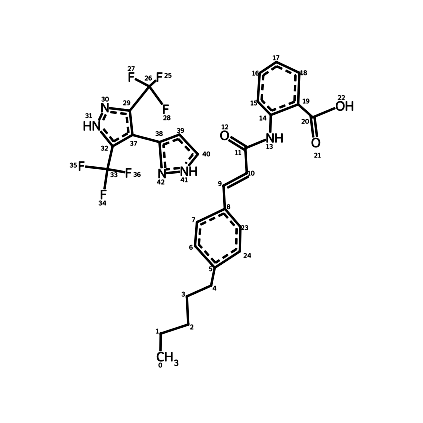 CCCCCc1ccc(C=CC(=O)Nc2ccccc2C(=O)O)cc1.FC(F)(F)c1n[nH]c(C(F)(F)F)c1-c1cc[nH]n1